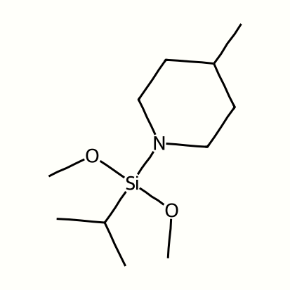 CO[Si](OC)(C(C)C)N1CCC(C)CC1